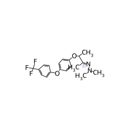 C/C(=N\N(C)C)C(C)Oc1ccc(Oc2ccc(C(F)(F)F)cc2)cc1